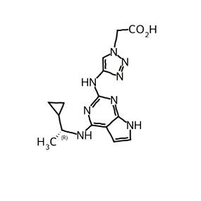 C[C@@H](Nc1nc(Nc2cn(CC(=O)O)nn2)nc2[nH]ccc12)C1CC1